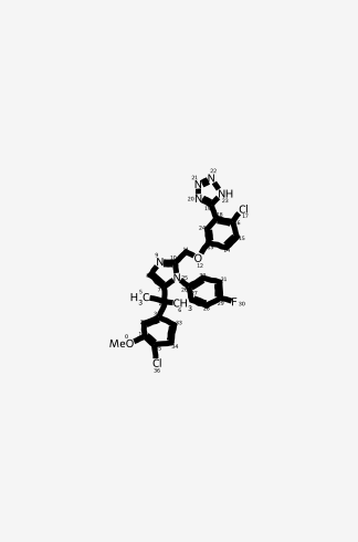 COc1cc(C(C)(C)c2cnc(COc3ccc(Cl)c(-c4nnn[nH]4)c3)n2-c2ccc(F)cc2)ccc1Cl